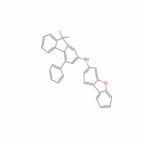 CC1(C)c2ccccc2-c2c(-c3ccccc3)cc(Nc3ccc4c(c3)oc3ccccc34)cc21